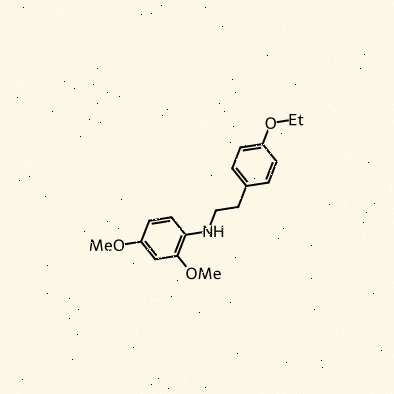 [CH2]COc1ccc(CCNc2ccc(OC)cc2OC)cc1